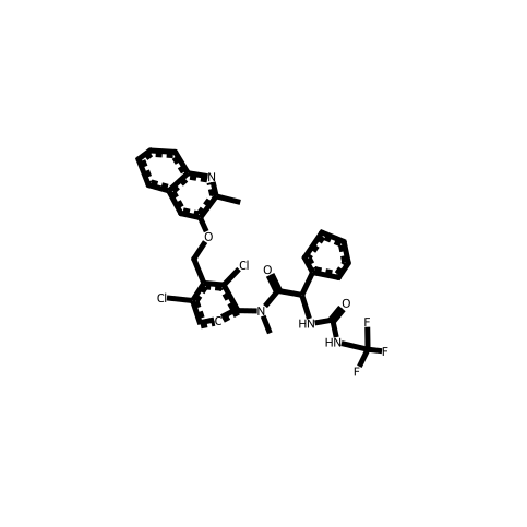 Cc1nc2ccccc2cc1OCc1c(Cl)ccc(N(C)C(=O)C(NC(=O)NC(F)(F)F)c2ccccc2)c1Cl